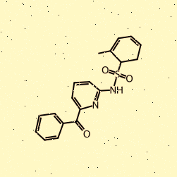 CC1=CC=CCC1S(=O)(=O)Nc1cccc(C(=O)c2ccccc2)n1